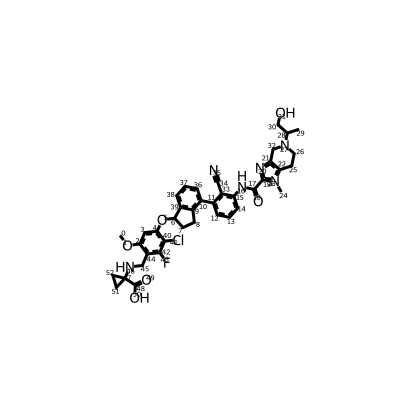 COc1cc(OC2CCc3c(-c4cccc(NC(=O)c5nc6c(n5C)CCN(C(C)CO)C6)c4C#N)cccc32)c(Cl)c(F)c1CNC1(C(=O)O)CC1